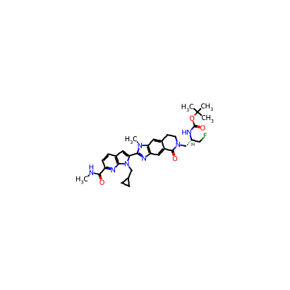 CNC(=O)c1ccc2cc(-c3nc4cc5c(cc4n3C)CCN(C[C@@H](CF)NC(=O)OC(C)(C)C)C5=O)n(CC3CC3)c2n1